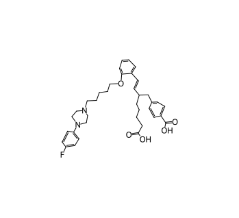 O=C(O)CCCCC(/C=C/c1ccccc1OCCCCCN1CCN(c2ccc(F)cc2)CC1)Cc1ccc(C(=O)O)cc1